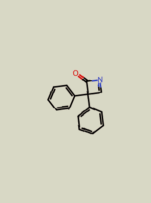 O=C1N=CC1(c1ccccc1)c1ccccc1